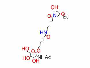 CCO[C@@H]1C[C@@H](CO)N(C(=O)CCCCCNC(=O)CCCCCOC2OC(CO)C(O)C(O)C2NC(C)=O)C1